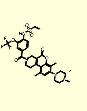 CCS(=O)(=O)Nc1ccc(C(=O)N2CCc3c(c(=O)oc4c(C)c(N5CCN(C)[C@@H](C)C5)cc(C)c34)C2)cc1OC(F)(F)F